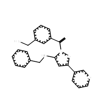 NCc1cccc(C(=O)n2nc(-c3cccnc3)cc2NCc2ccccc2)c1